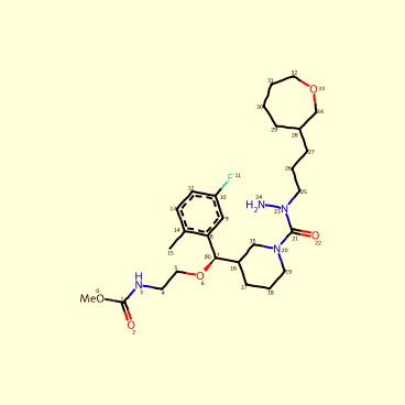 COC(=O)NCCO[C@@H](c1cc(F)ccc1C)C1CCCN(C(=O)N(N)CCCC2CCCCOC2)C1